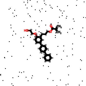 C=C(C)C(=O)OCCCc1cc(-c2ccc(-c3ccccc3)cc2)ccc1OCCO